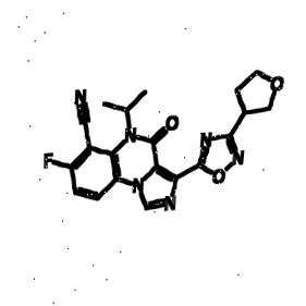 CC(C)n1c(=O)c2c(-c3nc(C4CCOC4)no3)ncn2c2ccc(F)c(C#N)c21